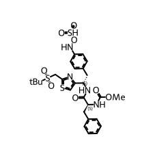 COC(=O)N[C@@H](Cc1ccccc1)C(=O)N[C@@H](Cc1ccc(NO[SH](=O)=O)cc1)c1csc(CS(=O)(=O)C(C)(C)C)n1